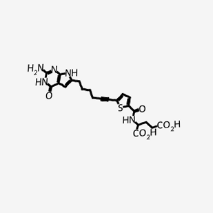 Nc1nc2[nH]c(CCCCC#Cc3ccc(C(=O)NC(CCC(=O)O)C(=O)O)s3)cc2c(=O)[nH]1